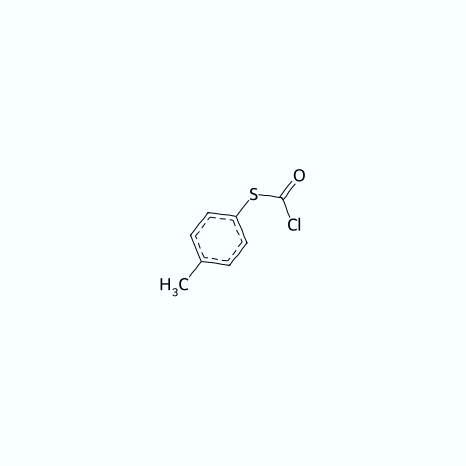 Cc1ccc(SC(=O)Cl)cc1